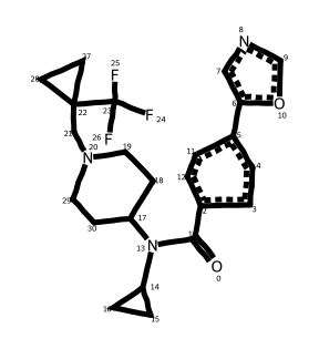 O=C(c1ccc(-c2cnco2)cc1)N(C1CC1)C1CCN(CC2(C(F)(F)F)CC2)CC1